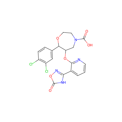 O=C(O)N1CCOC(c2ccc(Cl)c(Cl)c2)C(Oc2ncccc2-c2noc(=O)[nH]2)C1